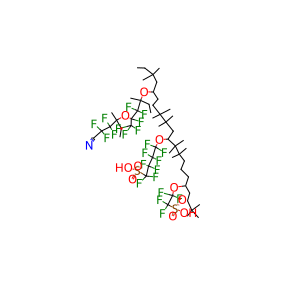 CCC(C)(C)CC(CCC(C)(C)C(C)(C)CC(OC(F)(F)C(F)(F)C(F)(F)C(F)(F)S(=O)(=O)O)C(C)(C)C(C)(C)CCCC(CCC(C)(C)C)OC(F)(F)C(F)(F)S(=O)(=O)O)OC(C)(CC)C(F)(F)C(F)(OC(C)(CC)C(F)(F)C(F)(F)C#N)C(F)(F)F